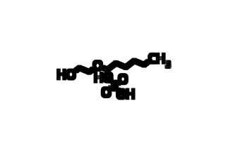 CCCCCCOCCO.O=S(=O)(O)O